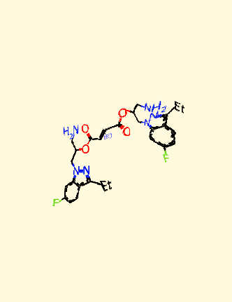 CCc1nn(CC(CN)OC(=O)/C=C/C(=O)OC(CN)Cn2nc(CC)c3ccc(F)cc32)c2cc(F)ccc12